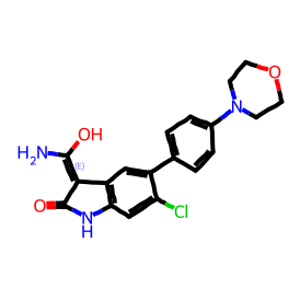 N/C(O)=C1\C(=O)Nc2cc(Cl)c(-c3ccc(N4CCOCC4)cc3)cc21